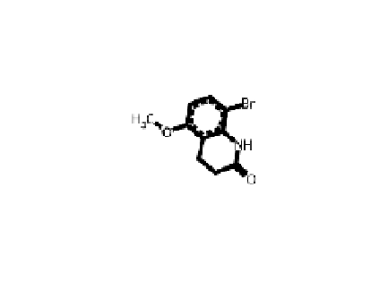 COc1ccc(Br)c2c1CCC(=O)N2